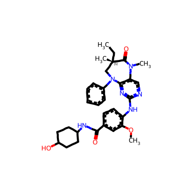 CC[C@@]1(C)CN(c2ccccc2)c2nc(Nc3ccc(C(=O)NC4CCC(O)CC4)cc3OC)ncc2N(C)C1=O